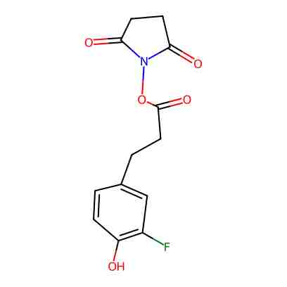 O=C(CCc1ccc(O)c(F)c1)ON1C(=O)CCC1=O